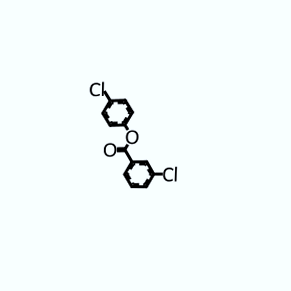 O=C(Oc1ccc(Cl)cc1)c1cccc(Cl)c1